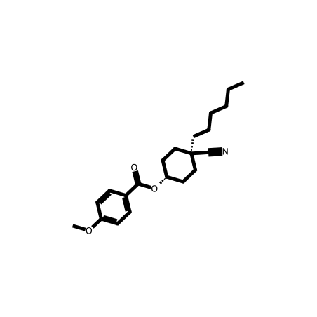 CCCCCC[C@]1(C#N)CC[C@H](OC(=O)c2ccc(OC)cc2)CC1